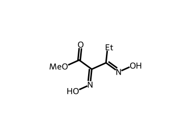 CCC(=N\O)/C(=N/O)C(=O)OC